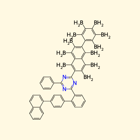 Bc1c(B)c(B)c(-c2c(B)c(B)c3c(B)c(-c4nc(-c5ccccc5)nc(-c5ccccc5-c5ccc(-c6cccc7ccccc67)cc5)n4)c(B)c(B)c3c2B)c(B)c1B